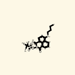 CCCCSc1ccc2c3c(cccc13)C(=O)N(OS(=O)(=O)C(F)(F)F)C2=O